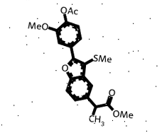 COC(=O)C(C)c1ccc2oc(-c3ccc(OC(C)=O)c(OC)c3)c(SC)c2c1